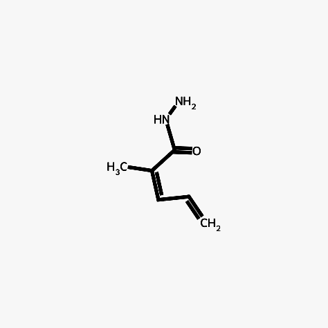 C=C/C=C(/C)C(=O)NN